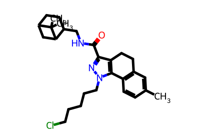 Cc1ccc2c(c1)CCc1c(C(=O)NCC3CCC4CC3C4(C)C)nn(CCCCCCl)c1-2